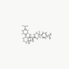 CC(C)N1CCN(C2CCCC(F)(F)C2NC(=O)N2CCC(C)(c3ccc(C(F)F)cc3)CC2)CC1